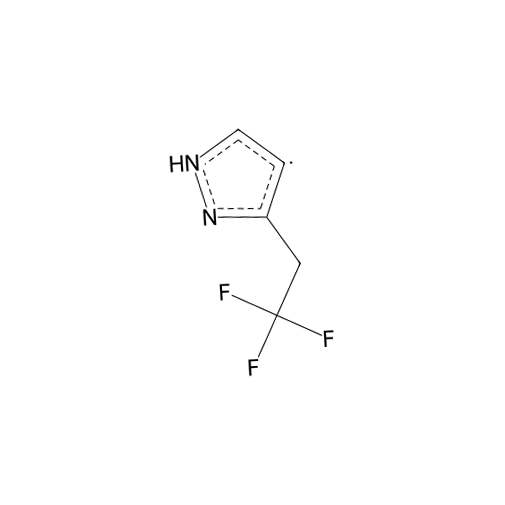 FC(F)(F)Cc1[c]c[nH]n1